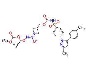 Cc1ccc(-c2cc(C(F)(F)F)nn2-c2ccc(S(=O)(=O)NC(=O)OCC3CN([N+]([O-])=NOC(C)OC(=O)OC(C)(C)C)C3)cc2)cc1